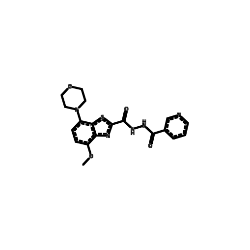 COc1ccc(N2CCOCC2)c2sc(C(=O)NNC(=O)c3cccnc3)nc12